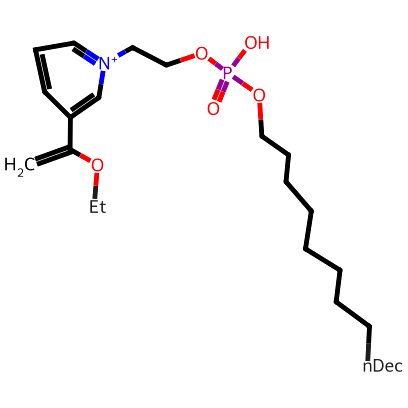 C=C(OCC)c1ccc[n+](CCOP(=O)(O)OCCCCCCCCCCCCCCCCCC)c1